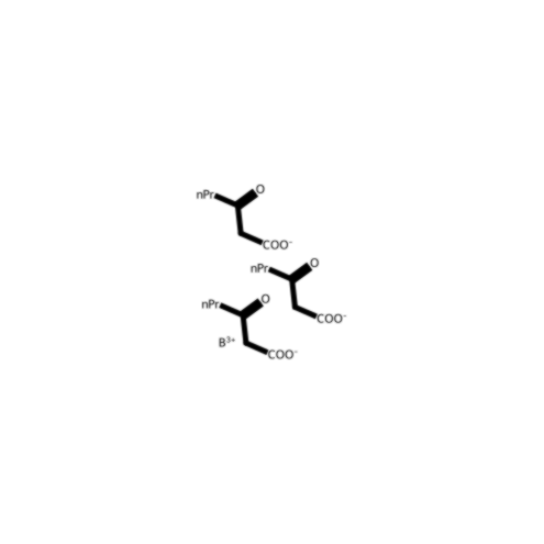 CCCC(=O)CC(=O)[O-].CCCC(=O)CC(=O)[O-].CCCC(=O)CC(=O)[O-].[B+3]